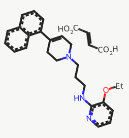 CCOc1cccnc1NCCCN1CC=C(c2cccc3ccccc23)CC1.O=C(O)C=CC(=O)O